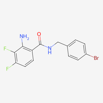 Nc1c(C(=O)NCc2ccc(Br)cc2)ccc(F)c1F